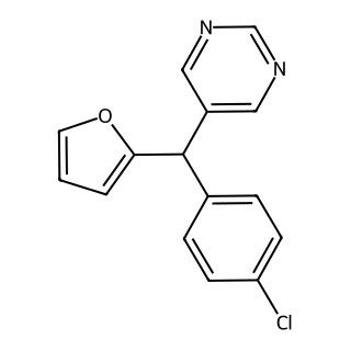 Clc1ccc(C(c2cncnc2)c2ccco2)cc1